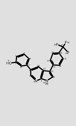 Oc1cccc(-c2cnc3[nH]cc(-c4ccc(C(F)(F)F)cc4)c3c2)c1